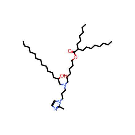 CCCCCCCCCCCCC(O)CN(CCCCCCOC(=O)C(CCCCCC)CCCCCCCC)CCCn1ccnc1C